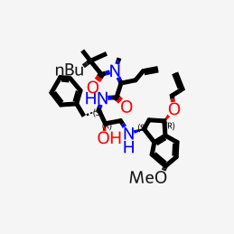 C=CCO[C@@H]1C[C@H](NC[C@@H](O)[C@H](Cc2ccccc2)NC(=O)C(CC=C)N(C)C(=O)C(C)(C)CCCC)c2cc(OC)ccc21